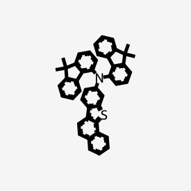 CC1(C)c2ccccc2-c2c(N(c3ccc4c(c3)sc3c5ccccc5ccc43)c3cccc4c3-c3ccccc3C4(C)C)cccc21